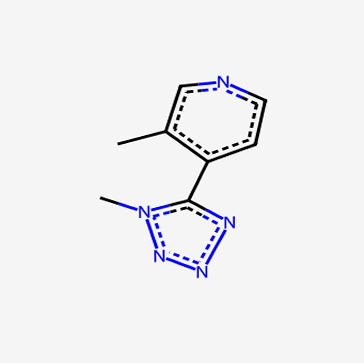 Cc1cnccc1-c1nnnn1C